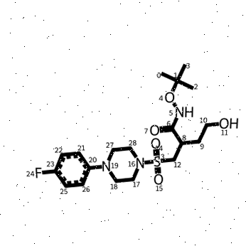 CC(C)(C)ONC(=O)C(CCO)CS(=O)(=O)N1CCN(c2ccc(F)cc2)CC1